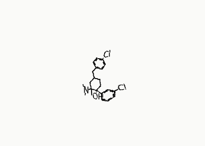 CN(C)C1(C)CC(Cc2ccc(Cl)cc2)CCC1(O)c1cccc(Cl)c1